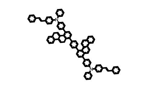 C(=Cc1ccc(N(c2ccccc2)c2ccc(-c3ccc(-c4ccc(-c5ccc(-c6ccc(N(c7ccccc7)c7ccc(C=Cc8ccccc8)cc7)cc6)c6ccc7c8ccccc8ccc7c56)cc4)c4c3C3=CCc5ccccc5C3=CC4)cc2)cc1)c1ccccc1